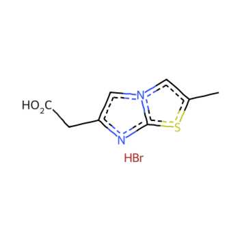 Br.Cc1cn2cc(CC(=O)O)nc2s1